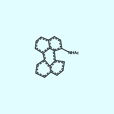 CC(=O)Nc1ccc2cccc3c4cccc5cccc(c1c23)c54